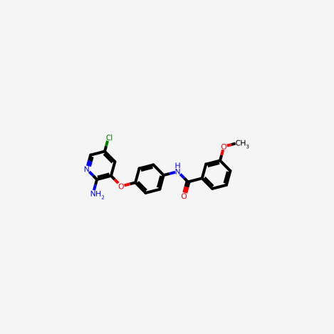 COc1cccc(C(=O)Nc2ccc(Oc3cc(Cl)cnc3N)cc2)c1